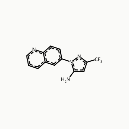 Nc1cc(C(F)(F)F)nn1-c1ccc2ncccc2c1